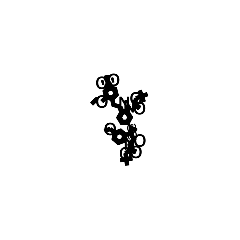 CCOc1cc(S(C)(=O)=O)ccc1Cc1nn(C(=O)OC(C)(C)C)c2cc([C@@H]3C[C@@]34C(=O)N(C(=O)OC(C)(C)C)c3ccc(OC)cc34)ccc12